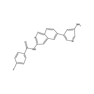 Nc1cncc(-c2ccc3cnc(NC(=O)c4ccc(F)cc4)cc3c2)c1